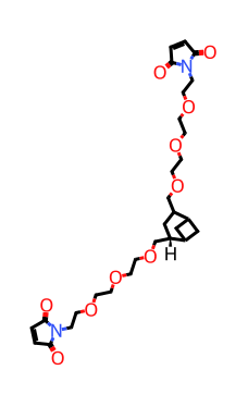 O=C1C=CC(=O)N1CCOCCOCCOCC1C[C@@H](COCCOCCOCCN2C(=O)C=CC2=O)C2CC1C2